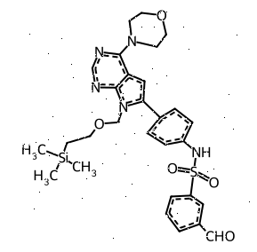 C[Si](C)(C)CCOCn1c(-c2ccc(NS(=O)(=O)c3cccc(C=O)c3)cc2)cc2c(N3CCOCC3)ncnc21